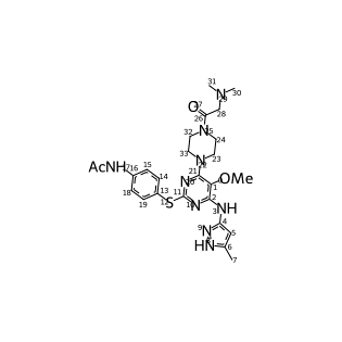 COc1c(Nc2cc(C)[nH]n2)nc(Sc2ccc(NC(C)=O)cc2)nc1N1CCN(C(=O)CN(C)C)CC1